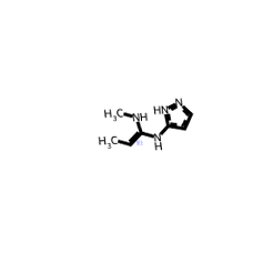 C/C=C(\NC)Nc1ccn[nH]1